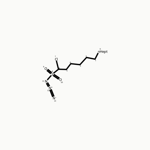 CCCCCCCCCCCCC(Cl)S(=O)(=O)N=[N+]=[N-]